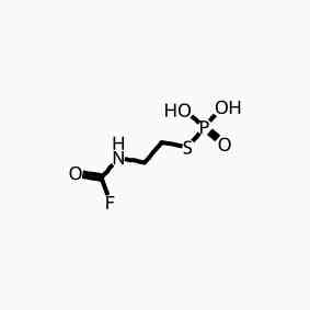 O=C(F)NCCSP(=O)(O)O